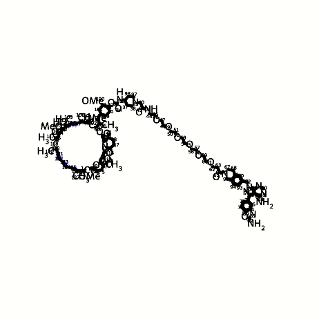 CO[C@H]1C[C@@H]2CC[C@@H](C)[C@@](O)(O2)C(=O)C(=O)N2CCCC[C@H]2C(=O)O[C@H]([C@H](C)C[C@@H]2CC[C@@H](OC(=O)NC3CCN(CC(=O)NCCOCCOCCOCCOCCOCCOCCC(=O)N4CCc5cc(Cn6nc(-c7ccc8oc(N)nc8c7)c7c(N)ncnc76)ccc5C4)CC3)[C@H](OC)C2)C[C@@H](OC)[C@H](C)/C=C(\C)[C@@H](O)[C@@H](OC)C(=O)[C@H](C)C[C@H](C)/C=C/C=C/C=C/1C